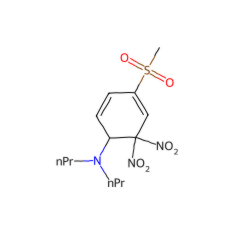 CCCN(CCC)C1C=CC(S(C)(=O)=O)=CC1([N+](=O)[O-])[N+](=O)[O-]